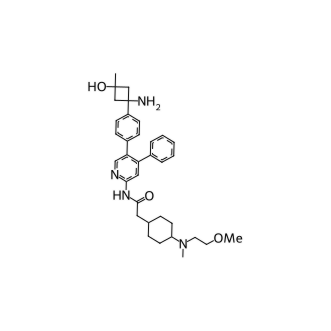 COCCN(C)C1CCC(CC(=O)Nc2cc(-c3ccccc3)c(-c3ccc(C4(N)CC(C)(O)C4)cc3)cn2)CC1